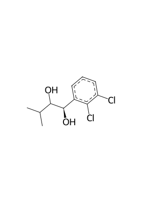 CC(C)C(O)[C@H](O)c1cccc(Cl)c1Cl